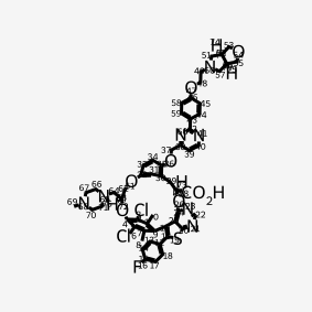 Cc1c(Cl)c2c(Cl)c(C)c1-c1c(-c3ccc(F)cc3)sc3ncnc(c13)O[C@@H](C(=O)O)Cc1cc(ccc1OCc1ccnc(-c3ccc(OCCN4C[C@H]5COC[C@H]5C4)cc3)n1)OC[C@@H](CN1CCN(C)CC1)O2